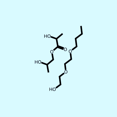 CC(O)COC(=O)C(C)O.CCCCOCCOCCO